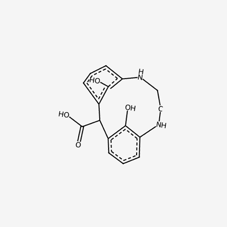 O=C(O)C1c2cccc(c2O)NCCNc2cccc1c2O